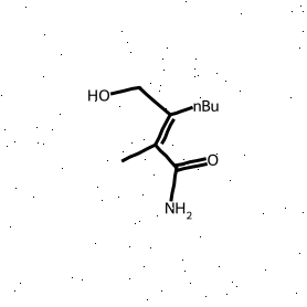 CCCCC(CO)=C(C)C(N)=O